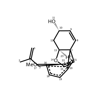 C=C(C)CN1CCC23C=C[C@@H](O)C[C@@H]2Oc2c(OC)ccc(c23)C1